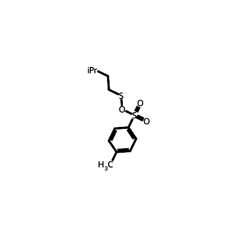 Cc1ccc(S(=O)(=O)OSCCC(C)C)cc1